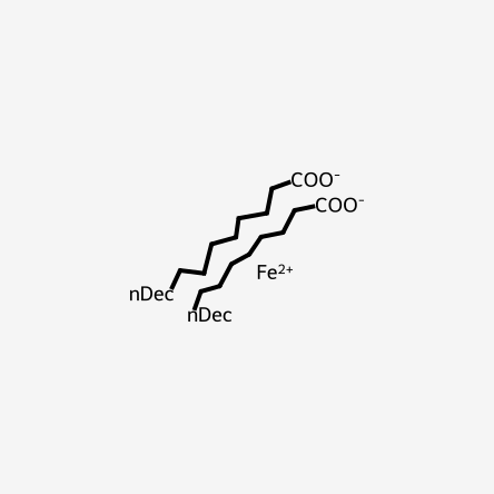 CCCCCCCCCCCCCCCCCC(=O)[O-].CCCCCCCCCCCCCCCCCC(=O)[O-].[Fe+2]